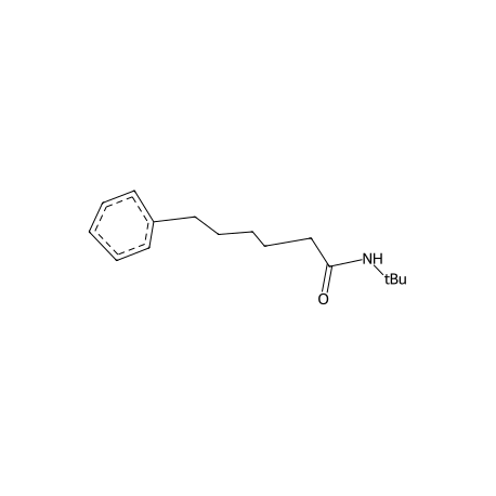 CC(C)(C)NC(=O)CCCCCc1ccccc1